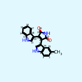 Cc1ccc2[nH]cc(C3=C(c4c[nH]c5ccccc45)C(=O)NC3=O)c2c1